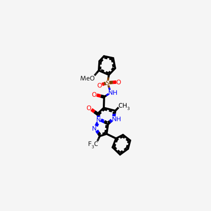 COc1ccccc1S(=O)(=O)NC(=O)c1c(C)[nH]c2c(-c3ccccc3)c(C(F)(F)F)nn2c1=O